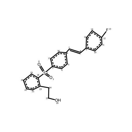 O=S(=O)(c1ccc(/C=C/c2ccc(F)cc2)cc1)c1ccccc1CCO